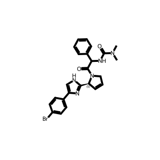 CN(C)C(=O)NC(C(=O)N1CC=C[C@H]1c1nc(-c2ccc(Br)cc2)c[nH]1)c1ccccc1